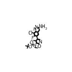 Cc1c(-c2cc3cc(N)nnc3c(Cl)c2F)cnc2c1N(C(=O)OC(C)(C)C)CCO2